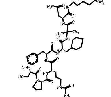 CC(=O)N[C@@H](CO)C(=O)N1CCC[C@@H]1C(=O)N[C@@H](CCCNC(=N)N)C(=O)N[C@@H](Cc1ccncc1)C(=O)N[C@@H](CC1CCCCC1)C(=O)NC(C)(C)C(=O)N[C@@H](CC(N)=O)C(=O)N[C@H](C)CCCCN